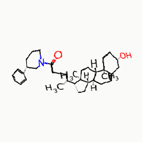 C[C@H](CCC(=O)N1CCC[C@@H](c2ccccc2)C1)[C@H]1CC[C@H]2[C@@H]3CC=C4C[C@@H](O)CC[C@]4(C)[C@H]3CC[C@]12C